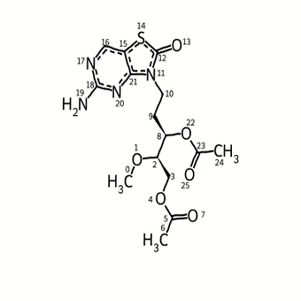 CO[C@H](COC(C)=O)[C@@H](CCn1c(=O)sc2cnc(N)nc21)OC(C)=O